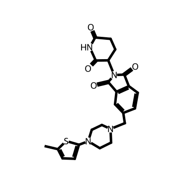 Cc1ccc(N2CCN(Cc3ccc4c(c3)C(=O)N(C3CCC(=O)NC3=O)C4=O)CC2)s1